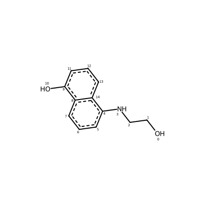 OCCNc1cccc2c(O)cccc12